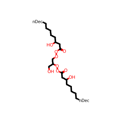 CCCCCCCCCCCCCCCC(O)CC(=O)OOCC(CO)OOC(=O)CC(O)CCCCCCCCCCCCCCC